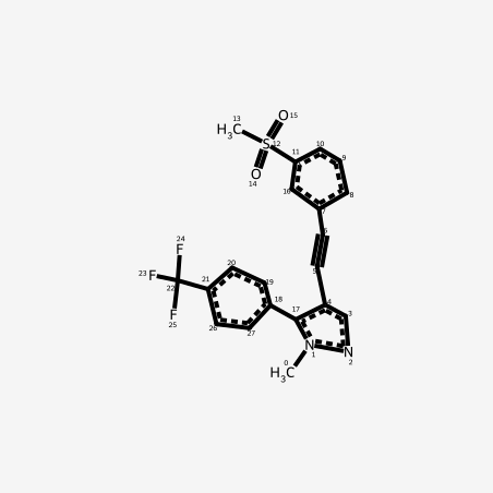 Cn1ncc(C#Cc2cccc(S(C)(=O)=O)c2)c1-c1ccc(C(F)(F)F)cc1